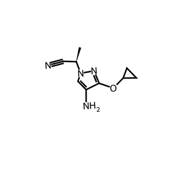 C[C@H](C#N)n1cc(N)c(OC2CC2)n1